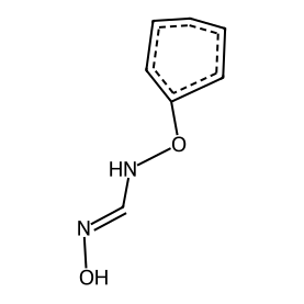 ON=CNOc1ccccc1